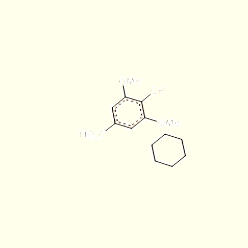 C1CCCCC1.COc1cc(C(=O)O)cc(OC)c1O